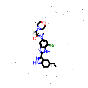 CC[C@H]1CCc2[nH]nc(-c3nc4cc(N(C)C(=O)[C@H](C)N5CCOCC5)cc(Br)c4[nH]3)c2C1